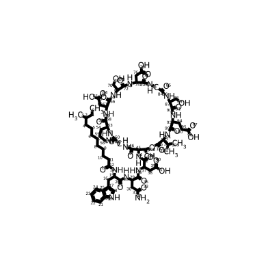 CCC(C)CCCCCCCCC(=O)NC(Cc1c[nH]c2ccccc12)C(=O)NC(CC(N)=O)C(=O)NC(CC(=O)O)C(=O)NC1C(=O)NCC(=O)NC(CCCN)C(=O)NC(CC(=O)O)C(=O)NC(CO)C(=O)NC(CC(=O)O)C(=O)NCC(=O)NC(CO)C(=O)NC(CCC(=O)O)C(=O)NC(C(C)C)C(=O)OC1C